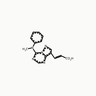 CN(c1ccccc1)c1ncnc2c(C=CC(=O)O)cnn12